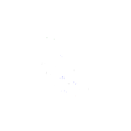 CC(=O)NC1N=CC=C(C)N1C(C)c1cnc(OCC(F)(F)F)c(C)c1